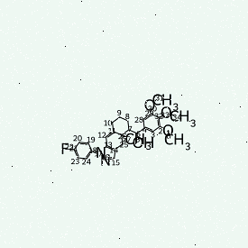 COc1cc(C(O)C2CCCC3=Cc4c(cnn4-c4ccc(F)cc4)CC32C)cc(OC)c1OC